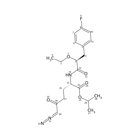 CCO[C@@H](Cc1ccc(F)cc1)C(=O)N[C@@H](CCC(=O)C=[N+]=[N-])C(=O)OC(C)C